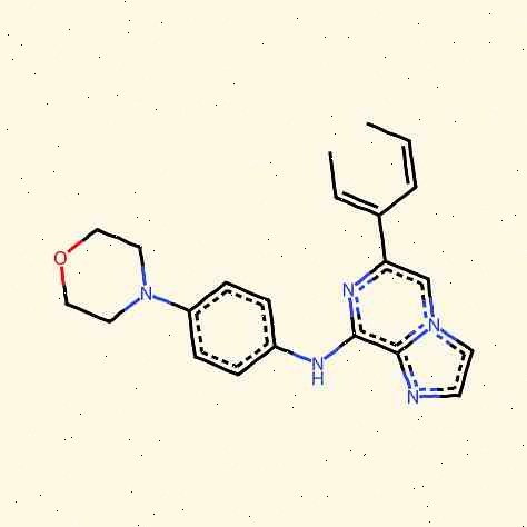 C/C=C\C(=C/C)c1cn2ccnc2c(Nc2ccc(N3CCOCC3)cc2)n1